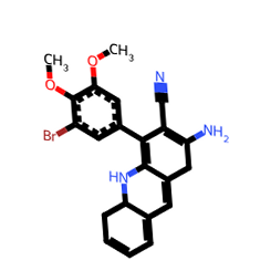 COc1cc(C2=C3NC4CC=CC=C4C=C3CC(N)=C2C#N)cc(Br)c1OC